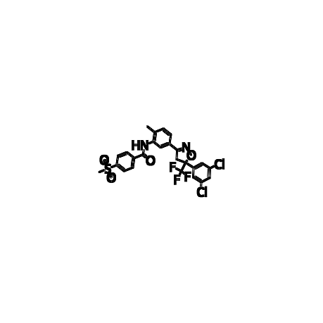 Cc1ccc(C2=NOC(c3cc(Cl)cc(Cl)c3)(C(F)(F)F)C2)cc1NC(=O)c1ccc(S(C)(=O)=O)cc1